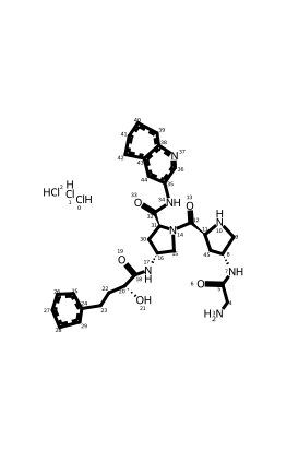 Cl.Cl.Cl.NCC(=O)N[C@H]1CN[C@H](C(=O)N2C[C@H](NC(=O)[C@H](O)CCc3ccccc3)C[C@H]2C(=O)Nc2cnc3ccccc3c2)C1